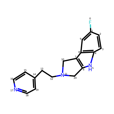 Fc1ccc2[nH]c3c(c2c1)CN(CCc1ccncc1)C3